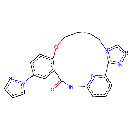 O=C1Nc2cccc(n2)-c2nncn2CCCCOc2ccc(-n3cccn3)cc21